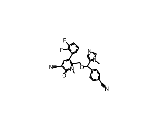 Cn1cncc1C(OCc1c(-c2cccc(F)c2F)cc(C#N)c(=O)n1C)c1ccc(C#N)cc1